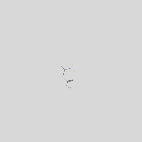 C=C(CC(NCl)C(=O)O)OC